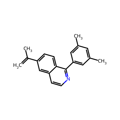 C=C(C)c1ccc2c(-c3cc(C)cc(C)c3)nccc2c1